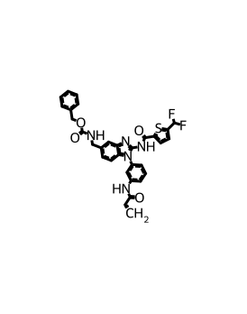 C=CC(=O)Nc1cccc(-n2c(NC(=O)c3ccc(C(F)F)s3)nc3cc(CNC(=O)OCc4ccccc4)ccc32)c1